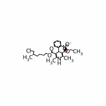 CCOC(=O)C1=C(C)NC(C)=C(C(=O)OCCCCC(C)CCl)C1c1ccccc1[N+](=O)[O-]